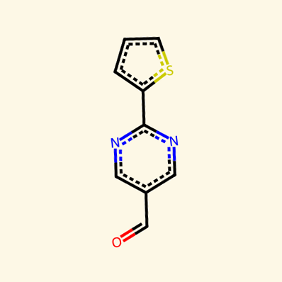 O=Cc1cnc(-c2cccs2)nc1